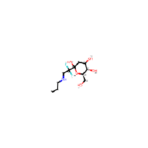 CCCNCC(F)(F)C1(O)CC(O)[C@@H](O)[C@@H](CO)O1